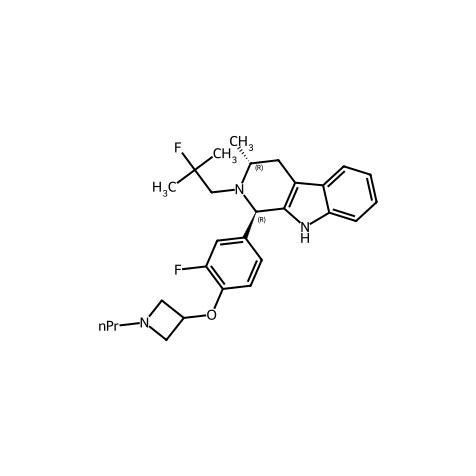 CCCN1CC(Oc2ccc([C@@H]3c4[nH]c5ccccc5c4C[C@@H](C)N3CC(C)(C)F)cc2F)C1